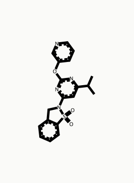 CC(C)c1cc(N2Cc3ccccc3S2(=O)=O)nc(Oc2cccnc2)n1